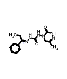 CC/C(=N\NC(=O)NN1CC(C)=NNC1=O)c1ccccc1